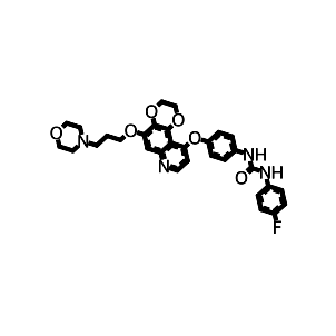 O=C(Nc1ccc(F)cc1)Nc1ccc(Oc2ccnc3cc(OCCCN4CCOCC4)c4c(c23)OCCO4)cc1